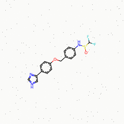 [O-][S+](Nc1ccc(COc2ccc(-c3c[nH]cn3)cc2)cc1)C(F)F